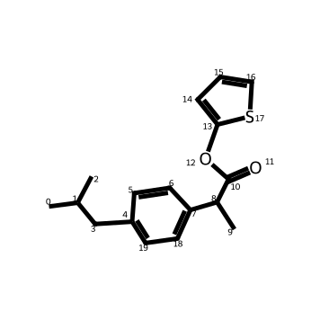 CC(C)Cc1ccc(C(C)C(=O)Oc2cccs2)cc1